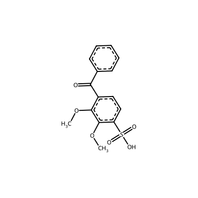 COc1c(C(=O)c2ccccc2)ccc(S(=O)(=O)O)c1OC